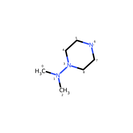 CN(C)N1CC[N]CC1